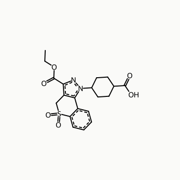 CCOC(=O)c1nn(C2CCC(C(=O)O)CC2)c2c1CS(=O)(=O)c1ccccc1-2